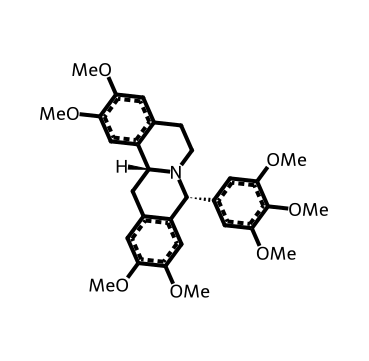 COc1cc2c(cc1OC)[C@@H](c1cc(OC)c(OC)c(OC)c1)N1CCc3cc(OC)c(OC)cc3[C@H]1C2